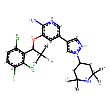 [2H]C1([2H])CC(n2cc(-c3cnc(N)c(OC(c4c(Cl)ccc(F)c4Cl)C([2H])([2H])[2H])c3)cn2)CC([2H])([2H])N1